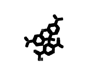 CC(=O)c1ccc(C(=O)O)cc1C1(C)c2ccc(N(C)C)cc2Oc2cc(N(C)C)ccc21